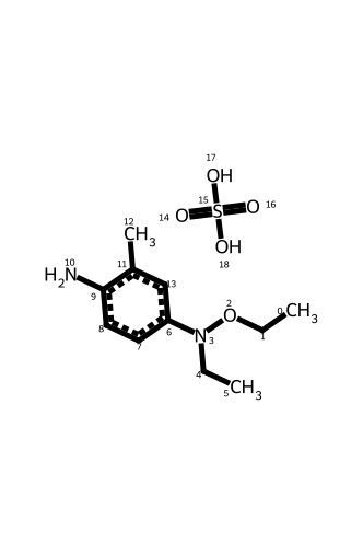 CCON(CC)c1ccc(N)c(C)c1.O=S(=O)(O)O